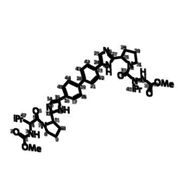 COC(=O)NC(C(=O)N1CCCC1c1ncc(-c2ccc(-c3ccc(-c4cnc(C5CCCN5C(=O)N(NC(=O)OC)C(C)C)[nH]4)cc3)cc2)[nH]1)C(C)C